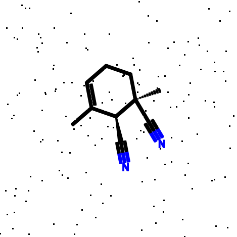 CC1=CCC[C@@](C)(C#N)[C@H]1C#N